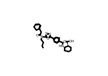 CCCCN(C(=O)CC1=CC=CCC1)c1nnc(-c2ccc(CN[C@H]3CCCC[C@@H]3C(=O)O)cc2)s1